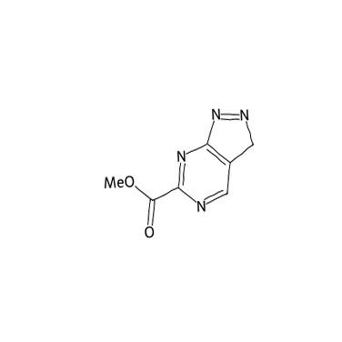 COC(=O)c1ncc2c(n1)N=NC2